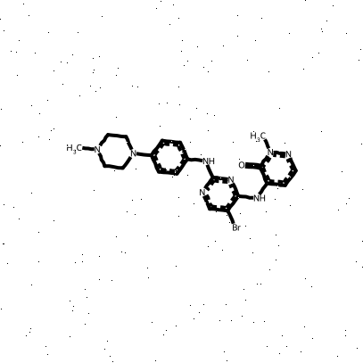 CN1CCN(c2ccc(Nc3ncc(Br)c(Nc4ccnn(C)c4=O)n3)cc2)CC1